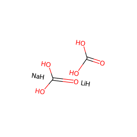 O=C(O)O.O=C(O)O.[LiH].[NaH]